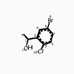 CC(O)c1cc(Br)ccc1Cl